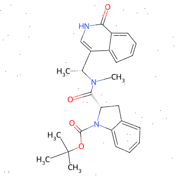 C[C@H](c1c[nH]c(=O)c2ccccc12)N(C)C(=O)[C@@H]1Cc2ccccc2N1C(=O)OC(C)(C)C